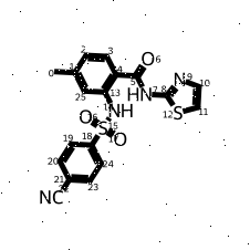 Cc1ccc(C(=O)Nc2nccs2)c(NS(=O)(=O)c2ccc(C#N)cc2)c1